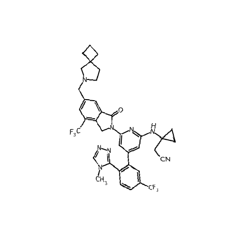 Cn1cnnc1-c1ccc(C(F)(F)F)cc1-c1cc(NC2(CC#N)CC2)nc(N2Cc3c(cc(CN4CCC5(CCC5)C4)cc3C(F)(F)F)C2=O)c1